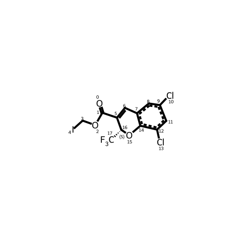 O=C(OCI)C1=Cc2cc(Cl)cc(Cl)c2O[C@@H]1C(F)(F)F